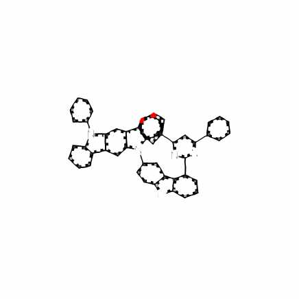 c1ccc(-c2cc(-c3ccccc3)nc(-c3cccc4oc5ccc(-n6c7ccccc7c7cc8c(cc76)c6ccccc6n8-c6ccccc6)cc5c34)n2)cc1